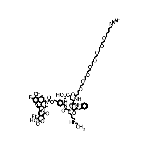 C=CNCCCC[C@H](NC(=O)[C@H](Cc1ccccc1)NC(=O)C(CCC(=O)O)NC(=O)CCOCCOCCOCCOCCOCCOCCOCCOCCCCCN=[N+]=[N-])C(=O)Nc1ccc(COC(=O)N[C@H]2CCc3c(C)c(F)cc4nc5c(c2c34)Cn2c-5cc3c(c2=O)COC(=O)[C@]3(O)CC)cc1